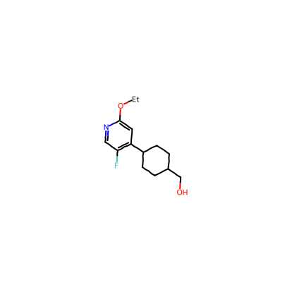 CCOc1cc(C2CCC(CO)CC2)c(F)cn1